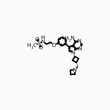 CS(=O)(=O)NCCOc1cccc(-c2cn([C@H]3C[C@@H](CN4CCC4)C3)c3ncnc(N)c23)c1